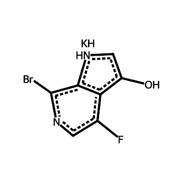 Oc1c[nH]c2c(Br)ncc(F)c12.[KH]